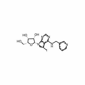 OC[C@H]1O[C@@H](n2cc(I)c3c(NCc4cccnc4)ncnc32)[C@@H](O)[C@H]1O